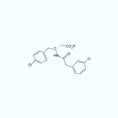 O=C(O)C[C@@H](Cc1ccc(Cl)cc1)NC(=O)Cc1cccc(Cl)c1